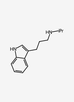 CC(C)NCCCc1c[nH]c2ccccc12